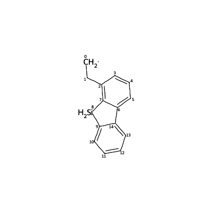 [CH2]Cc1cccc2c1[SiH2]c1ccccc1-2